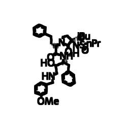 CCCS(=O)(=O)N[C@]1([C@@H](C)CC)CCN([C@@H](CCc2ccccc2)C(=O)N[C@@H](Cc2ccccc2)C(O)CNCc2cccc(OC)c2)C1=O